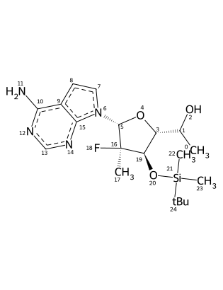 CC(O)[C@H]1O[C@@H](n2ccc3c(N)ncnc32)[C@](C)(F)[C@@H]1O[Si](C)(C)C(C)(C)C